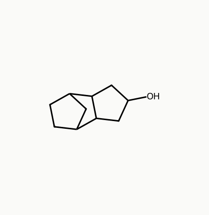 OC1CC2C3CCC(C3)C2C1